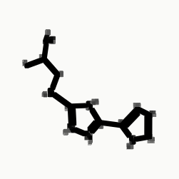 CC(=O)C(C)CSc1nnc(-c2cccs2)s1